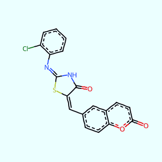 O=C1NC(=Nc2ccccc2Cl)SC1=Cc1ccc2oc(=O)ccc2c1